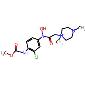 COC(=O)Nc1ccc(N(O)C(=O)C[N+]2(C)CCN(C)CC2)cc1Cl